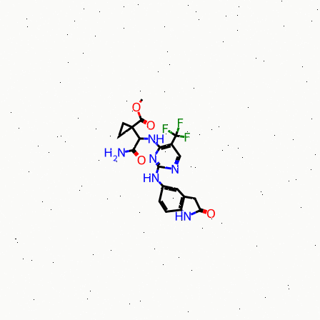 COC(=O)C1(C(Nc2nc(Nc3ccc4c(c3)CC(=O)N4)ncc2C(F)(F)F)C(N)=O)CC1